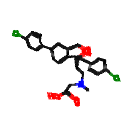 CN(CCC1(c2ccc(Cl)cc2)OC=C2CC(c3ccc(Cl)cc3)=CC=C21)CC(=O)O